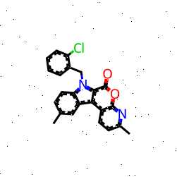 Cc1ccc2c(c1)c1c3ccc(C)nc3oc(=O)c1n2Cc1ccccc1Cl